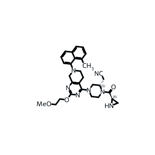 COCCOc1nc2c(c(N3CCN(C(=O)[C@H]4CN4)[C@@H](CC#N)C3)n1)CCN(c1cccc3cccc(C)c13)C2